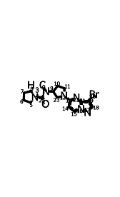 CN(C(=O)N1CCCC1)C1CCN(c2ccn3ncc(Br)c3n2)C1